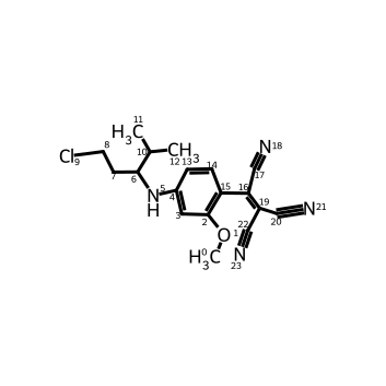 COc1cc(NC(CCCl)C(C)C)ccc1C(C#N)=C(C#N)C#N